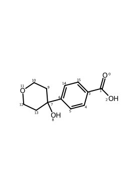 O=C(O)c1ccc(C2(O)CCOCC2)cc1